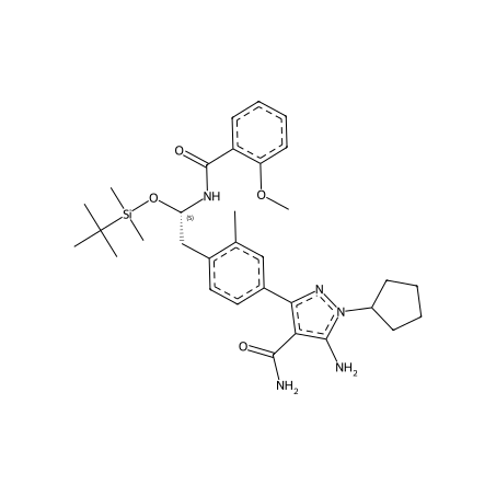 COc1ccccc1C(=O)N[C@H](Cc1ccc(-c2nn(C3CCCC3)c(N)c2C(N)=O)cc1C)O[Si](C)(C)C(C)(C)C